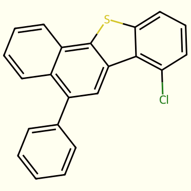 Clc1cccc2sc3c4ccccc4c(-c4ccccc4)cc3c12